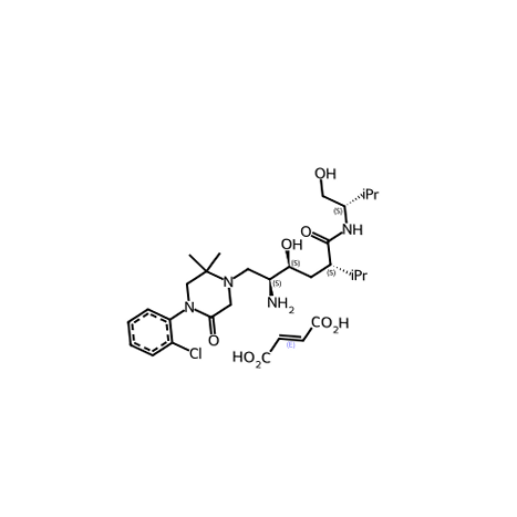 CC(C)[C@H](C[C@H](O)[C@@H](N)CN1CC(=O)N(c2ccccc2Cl)CC1(C)C)C(=O)N[C@H](CO)C(C)C.O=C(O)/C=C/C(=O)O